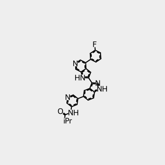 CC(C)C(=O)Nc1cncc(-c2ccc3[nH]nc(-c4cc5c(-c6cccc(F)c6)cncc5[nH]4)c3c2)c1